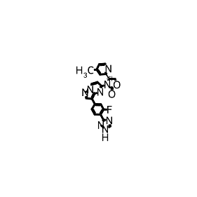 Cc1ccnc([C@H]2COC(=O)N2c2ccn3ncc(-c4ccc(-c5nc[nH]n5)c(F)c4)c3n2)c1